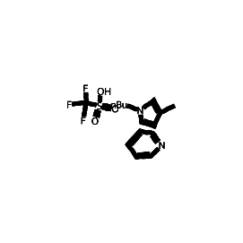 CCCCn1ccc(C)c1.O=S(=O)(O)C(F)(F)F.c1ccncc1